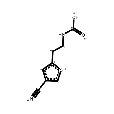 N#Cc1csc(CCNC(=O)O)c1